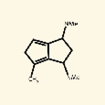 CNC1CC(NC)C2=C(C)CC=C21